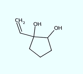 C=CC1(O)CCCC1O